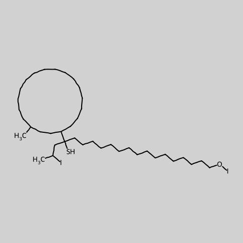 CC(I)CC(S)(CCCCCCCCCCCCCCCCOI)C1CCCCCCCCCCCCCCCC(C)CC1